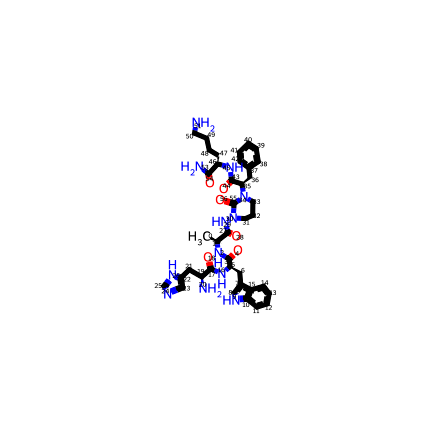 C[C@H](NC(=O)[C@@H](Cc1c[nH]c2ccccc12)NC(=O)[C@@H](N)Cc1cnc[nH]1)C(=O)NN1CCCN([C@H](Cc2ccccc2)C(=O)N[C@@H](CCCCN)C(N)=O)C1=O